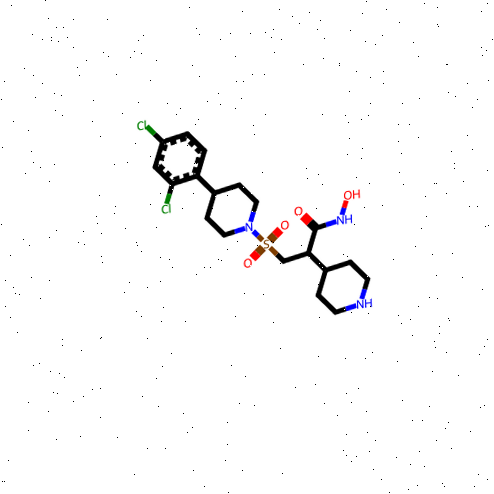 O=C(NO)C(CS(=O)(=O)N1CCC(c2ccc(Cl)cc2Cl)CC1)C1CCNCC1